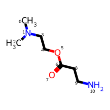 CN(C)CCOC(=O)CCN